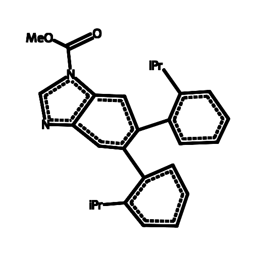 COC(=O)n1cnc2cc(-c3ccccc3C(C)C)c(-c3ccccc3C(C)C)cc21